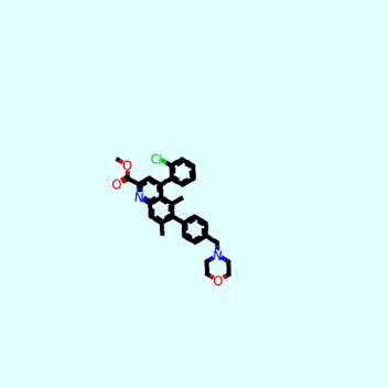 COC(=O)c1cc(-c2ccccc2Cl)c2c(C)c(-c3ccc(CN4CCOCC4)cc3)c(C)cc2n1